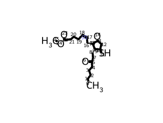 CCCCCC(=O)CC[C@H]1C(S)CC(=O)[C@@H]1C/C=C\CCCC(=O)OC